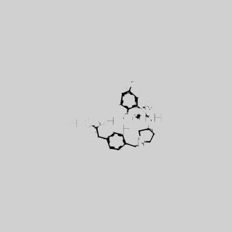 Cc1ccc(F)cc1S(=O)(=O)N[C@@H]1CCN(Cc2ccc(CC(C)C)cc2)C1